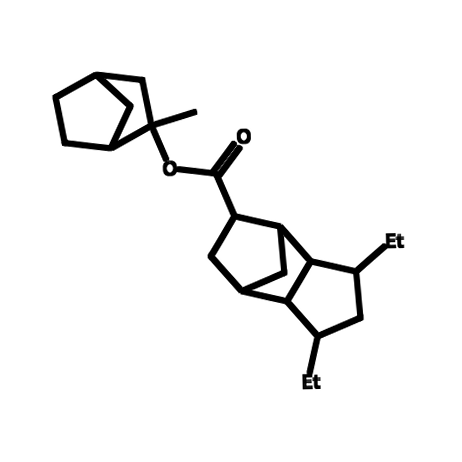 CCC1CC(CC)C2C3CC(CC3C(=O)OC3(C)CC4CCC3C4)C12